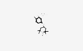 COc1cc(OC2CC(C)(C)N(C)C(C)(C)C2)ccc1C